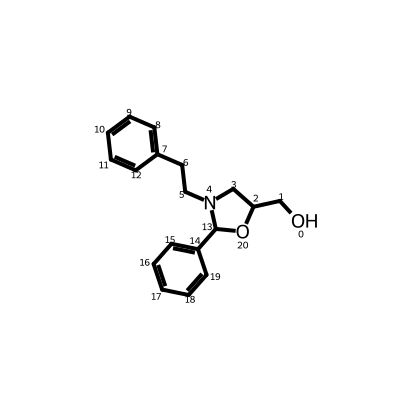 OCC1CN(CCc2ccccc2)C(c2ccccc2)O1